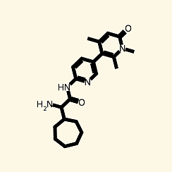 Cc1cc(=O)n(C)c(C)c1-c1ccc(NC(=O)C(N)C2CCCCCC2)nc1